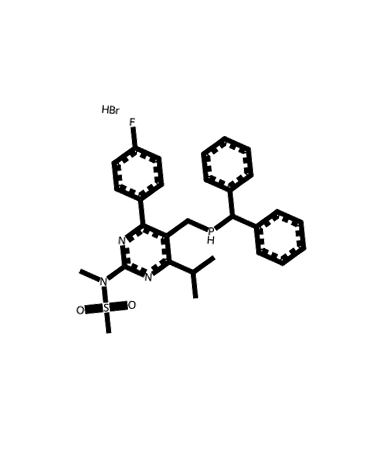 Br.CC(C)c1nc(N(C)S(C)(=O)=O)nc(-c2ccc(F)cc2)c1CPC(c1ccccc1)c1ccccc1